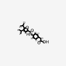 CC(C)c1cc(C(=O)Nc2ccc(CC(=O)O)cc2)oc1C(C)C